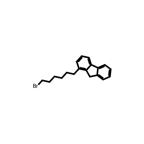 BrCCCCCCc1[c]ccc2c1Cc1ccccc1-2